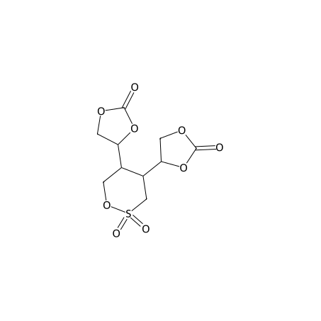 O=C1OCC(C2COS(=O)(=O)CC2C2COC(=O)O2)O1